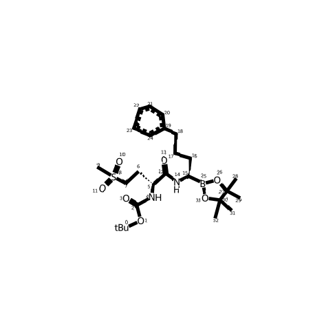 CC(C)(C)OC(=O)N[C@H](CCS(C)(=O)=O)C(=O)N[C@@H](CCCc1ccccc1)B1OC(C)(C)C(C)(C)O1